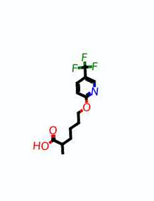 CC(CCCCOc1ccc(C(F)(F)F)cn1)C(=O)O